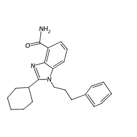 NC(=O)c1cccc2c1nc(C1CCCCC1)n2CCCc1ccccc1